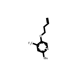 C=CCCOc1cnc(C(C)(C)C)cc1C(F)(F)F